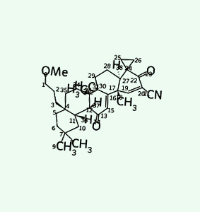 COCCC[C@]12CCC(C)(C)C[C@H]1[C@H]1C(=O)C=C3[C@@]4(C)C=C(C#N)C(=O)C5(CC5)[C@@H]4CC[C@@]3(C)[C@]1(C)CC2